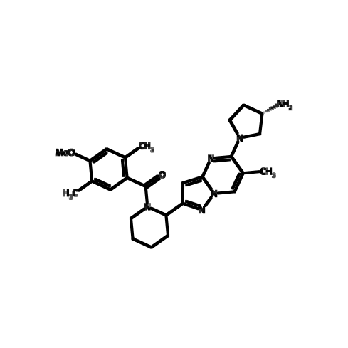 COc1cc(C)c(C(=O)N2CCCCC2c2cc3nc(N4CC[C@H](N)C4)c(C)cn3n2)cc1C